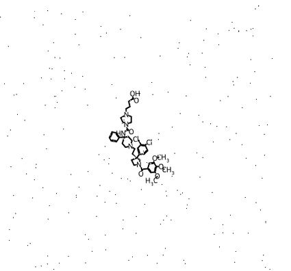 COc1cc(C(=O)N2CC[C@](CCN3CCC(NC(=O)N4CCN(CCCC(=O)O)CC4)(c4ccccc4)CC3)(c3ccc(Cl)c(Cl)c3)C2)cc(OC)c1OC